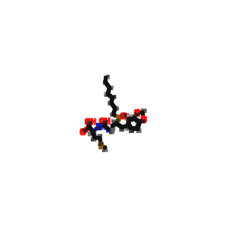 CCCCCCCC[S+]([O-])C(C)Cc1ccc2c(c1)OCO2.CCO.CSCC[C@H](N)C(=O)O